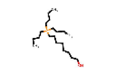 CCCC[P+](CCCC)(CCCC)CCCCCCCCO